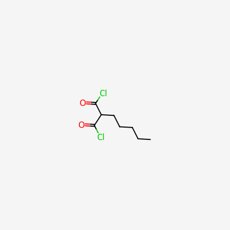 CCCCCC(C(=O)Cl)C(=O)Cl